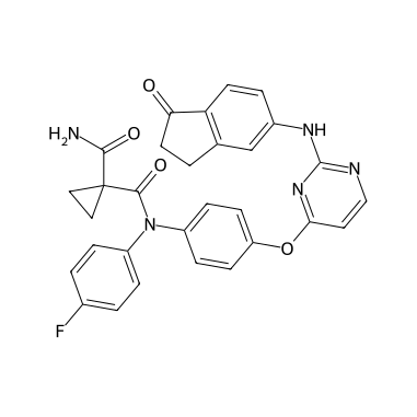 NC(=O)C1(C(=O)N(c2ccc(F)cc2)c2ccc(Oc3ccnc(Nc4ccc5c(c4)CCC5=O)n3)cc2)CC1